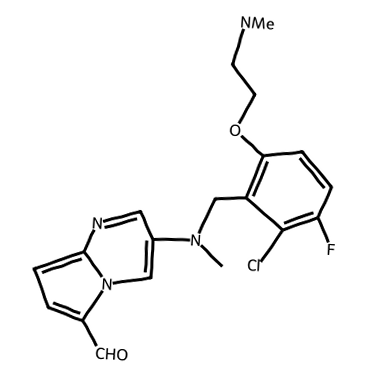 CNCCOc1ccc(F)c(Cl)c1CN(C)c1cnc2ccc(C=O)n2c1